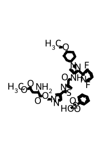 CCOC1CCC(n2cc(NC(=O)c3csc(-c4cnn(COC(=O)[C@@H](N)CC(=O)OC)c4)n3)c(-c3nc(F)ccc3F)n2)CC1.O=S(=O)(O)c1ccccc1